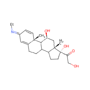 CC/N=C1\C=C[C@@]2(C)C(=C1)CCC1C2[C@@H](O)C[C@@]2(C)C1CC[C@]2(O)C(=O)CO